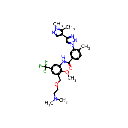 COc1c(COCCN(C)C)cc(C(F)(F)F)cc1NC(=O)c1ccc(C)c(-n2cc(-c3cnn(C)c3C)nn2)c1